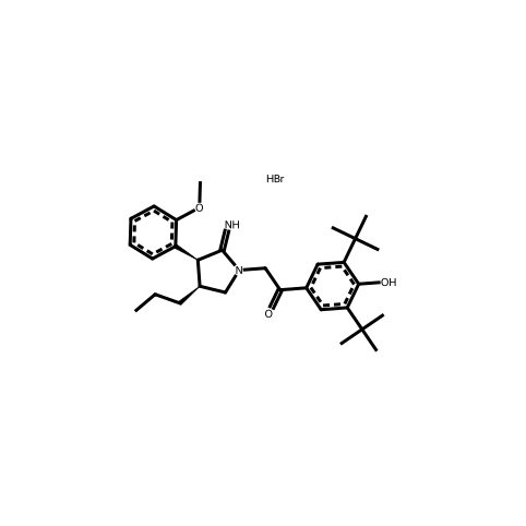 Br.CCC[C@@H]1CN(CC(=O)c2cc(C(C)(C)C)c(O)c(C(C)(C)C)c2)C(=N)[C@@H]1c1ccccc1OC